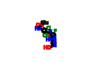 CC(C)(C)OC(=O)Nc1cc(Cl)c(-c2nc3c(F)cnc(Nc4cc(CO)ncn4)c3s2)c(Cl)c1